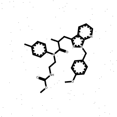 COC(=O)NCCN(C(=O)C(C)Cc1nn(Cc2ccc(OC)cc2)c2ncccc12)c1ccc(C)cc1